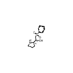 O=S(=O)(C[C@@H](O)[C@H]1CCCN1)c1ccccc1